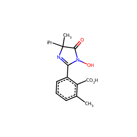 Cc1cccc(C2=NC(C)(C(C)C)C(=O)N2O)c1C(=O)O